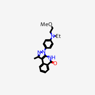 CCN(CCOC)c1ccc(-n2nc(C)c3c4ccccc4c(=O)[nH]c32)cc1